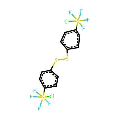 FS(F)(F)(F)(Cl)c1ccc(SSc2ccc(S(F)(F)(F)(F)Cl)cc2)cc1